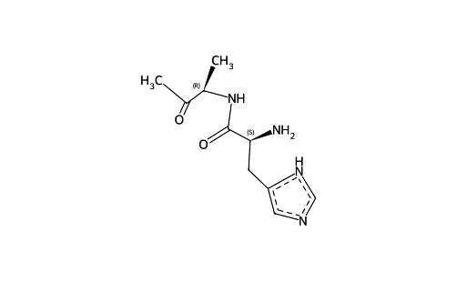 CC(=O)[C@@H](C)NC(=O)[C@@H](N)Cc1cnc[nH]1